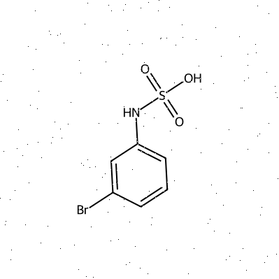 O=S(=O)(O)Nc1cccc(Br)c1